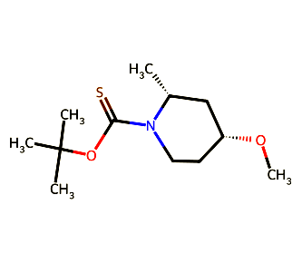 CO[C@@H]1CCN(C(=S)OC(C)(C)C)[C@H](C)C1